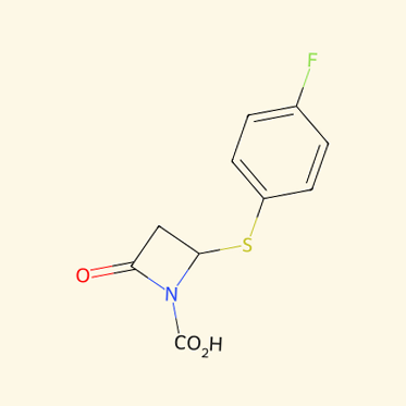 O=C(O)N1C(=O)CC1Sc1ccc(F)cc1